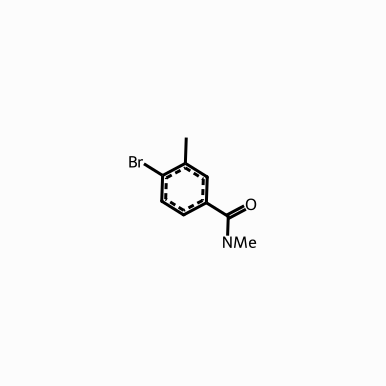 [CH2-][NH2+]C(=O)c1ccc(Br)c(C)c1